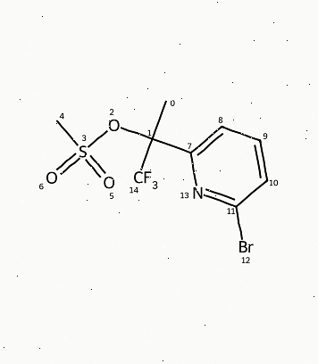 CC(OS(C)(=O)=O)(c1cccc(Br)n1)C(F)(F)F